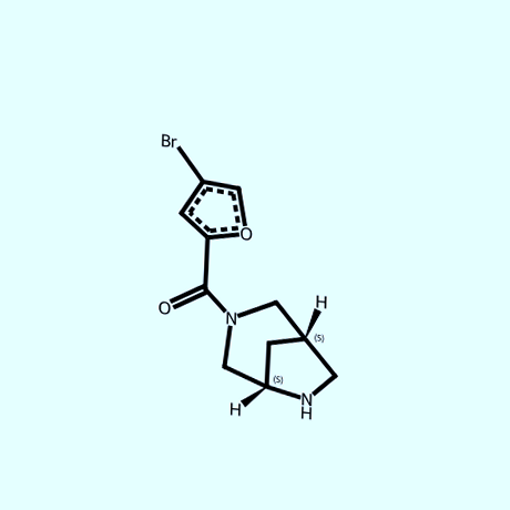 O=C(c1cc(Br)co1)N1C[C@@H]2CN[C@@H](C2)C1